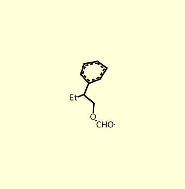 CCC(CO[C]=O)c1ccccc1